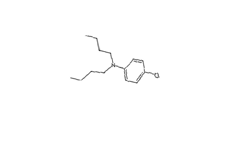 CCCCN(CCCC)c1ccc(Cl)cc1